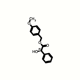 COc1ccc(COC(=O)[C@H](O)c2ccccc2)cc1